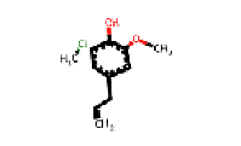 C=CCc1ccc(O)c(OC)c1.CCl